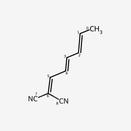 CC=CC=CC=C(C#N)C#N